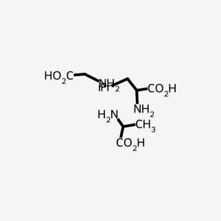 CC(C)CC(N)C(=O)O.CC(N)C(=O)O.NCC(=O)O